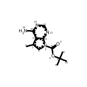 Cc1cn(C(=O)OC(C)(C)C)c2ncnc(N)c12